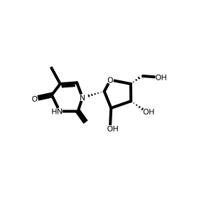 C=C1NC(=O)C(C)=CN1[C@@H]1O[C@H](CO)[C@H](O)C1O